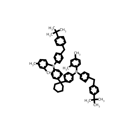 Cc1ccc(N(c2ccc(Cc3ccc(C(C)(C)C)cc3)cc2)c2ccc(C3(c4ccc(N(c5ccc(Cc6ccc(C(C)(C)C)cc6)cc5)c5ccc(C)cc5C)cc4)CCCCC3)cc2)c(C)c1